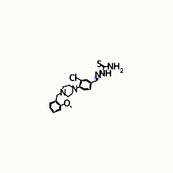 COc1ccccc1CN1CCN(c2ccc(/C=N/NC(N)=S)cc2Cl)CC1